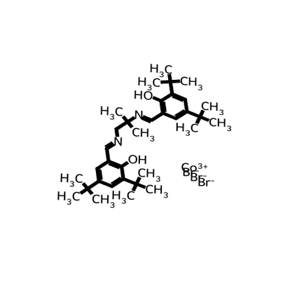 CC(C)(CN=Cc1cc(C(C)(C)C)cc(C(C)(C)C)c1O)N=Cc1cc(C(C)(C)C)cc(C(C)(C)C)c1O.[Br-].[Br-].[Br-].[Co+3]